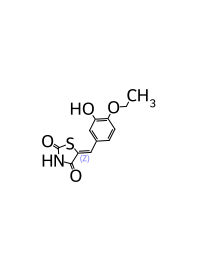 CCOc1ccc(/C=C2\SC(=O)NC2=O)cc1O